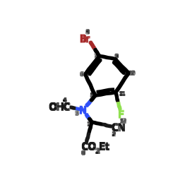 CCOC(=O)C(C#N)N(C=O)c1cc(Br)ccc1F